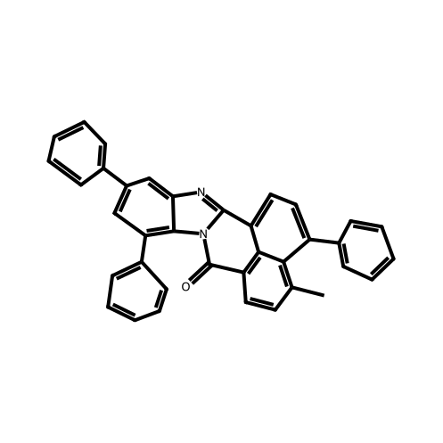 Cc1ccc2c(=O)n3c(nc4cc(-c5ccccc5)cc(-c5ccccc5)c43)c3ccc(-c4ccccc4)c1c23